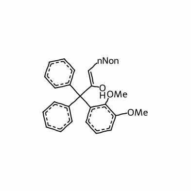 CCCCCCCCCC=C(O)C(c1ccccc1)(c1ccccc1)c1cccc(OC)c1OC